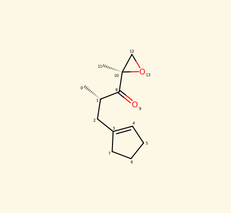 C[C@@H](CC1=CCCC1)C(=O)[C@@]1(C)CO1